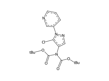 CC(C)(C)OC(=O)N(C(=O)OC(C)(C)C)c1cnn(-c2cccnc2)c1Cl